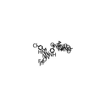 CC(C)(C)S(=O)(=O)NC(=O)[C@@]1(NC(=O)C2(CNC(=O)c3ccc(Nc4nc(NC5(c6ccc(Cl)cc6)CC5)nc(OCC(F)(F)F)n4)cc3)CC2)C[C@H]1I